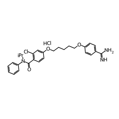 CC(C)N(C(=O)c1ccc(OCCCCCOc2ccc(C(=N)N)cc2)cc1Cl)c1ccccc1.Cl